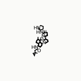 Cc1ccc2c(NC(=O)CC3(C)CC3)cccc2c1Oc1ncccc1-c1ccnc(NC2CCCNC2)n1